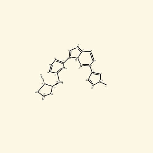 Cn1cc(-c2ccc3ncc(-c4cccc(N[C@H]5CNC[C@@H]5F)n4)n3n2)cn1